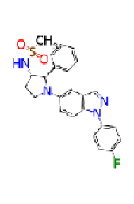 CS(=O)(=O)N[C@H]1CCN(c2ccc3c(cnn3-c3ccc(F)cc3)c2)[C@@H]1c1ccccc1